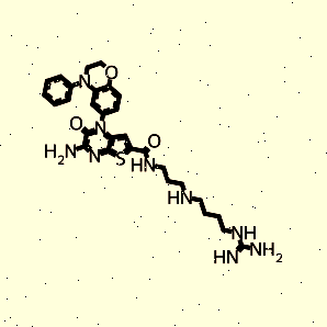 N=C(N)NCCCCNCCCNC(=O)c1cc2c(nc(N)c(=O)n2-c2ccc3c(c2)N(c2ccccc2)CCO3)s1